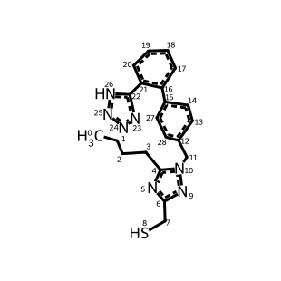 CCCCc1nc(CS)nn1Cc1ccc(-c2ccccc2-c2nnn[nH]2)cc1